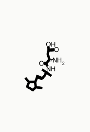 CC1CCC(C)C1C=CC(C)(C)NC(=O)[C@@H](N)CC(=O)O